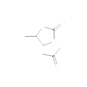 CC(C)=O.CC1COC(=O)O1